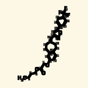 CCCCOC(=O)COc1ccc2c(c1)CCN(Cc1cc(-c3ccc(C(F)(F)F)cc3)on1)CC2